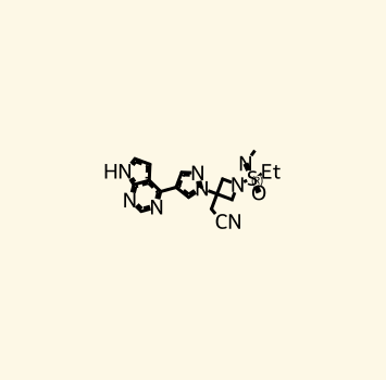 CC[S@](=O)(=NC)N1CC(CC#N)(n2cc(-c3ncnc4[nH]ccc34)cn2)C1